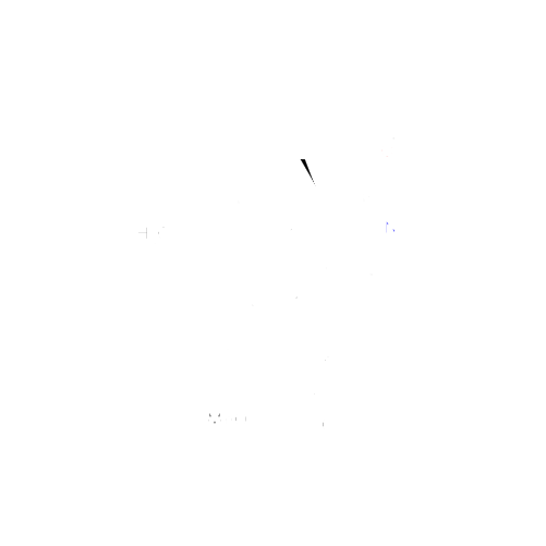 COc1ccc([C@H]2CNC(=O)[C@H](Cc3cccc(C)c3)C2)cc1C